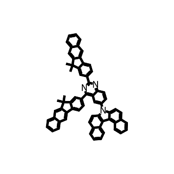 CC1(C)c2cc(-c3nc(-c4ccc5c(c4)C(C)(C)c4cc6ccccc6cc4-5)c4cc(-n5c6ccc7ccccc7c6c6c7ccccc7ccc65)ccc4n3)ccc2-c2cc3ccccc3cc21